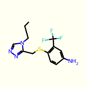 CCCn1cnnc1CSc1ccc(N)cc1C(F)(F)F